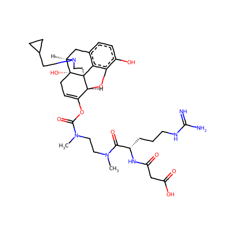 CN(CCN(C)C(=O)[C@H](CCCNC(=N)N)NC(=O)CC(=O)O)C(=O)OC1=CC[C@@]2(O)[C@H]3Cc4ccc(O)c5c4[C@@]2(CCN3CC2CC2)[C@H]1O5